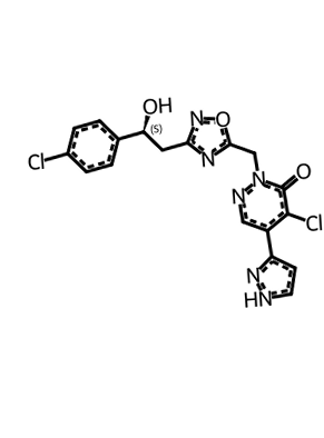 O=c1c(Cl)c(-c2cc[nH]n2)cnn1Cc1nc(C[C@H](O)c2ccc(Cl)cc2)no1